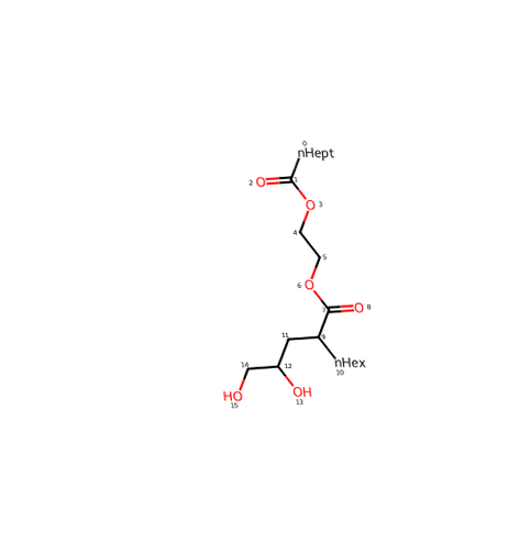 CCCCCCCC(=O)OCCOC(=O)C(CCCCCC)CC(O)CO